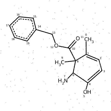 CC1=CC=C(O)C(N)C1(C)C(=O)OCc1ccccc1